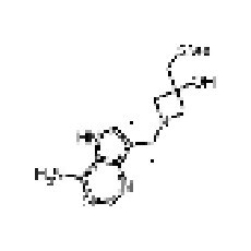 CSCC1(O)CN(Cc2c[nH]c3c(N)ncnc23)C1